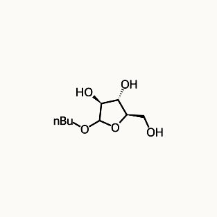 CCCCOC1O[C@H](CO)[C@@H](O)[C@@H]1O